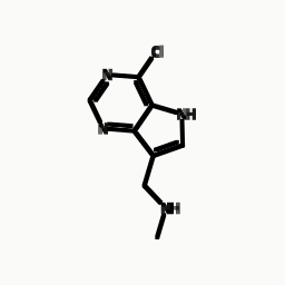 CNCc1c[nH]c2c(Cl)ncnc12